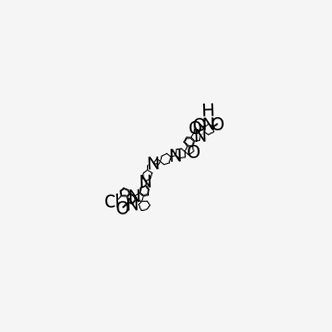 O=C1CC[C@H](N2Cc3c(ccc4c3OCC43CCN(C4CCC5(CC4)CN(CC4CCN(c6ccc7c(c6)-n6c(nc(=O)c8c(Cl)cccc86)C76CCCCC6)CC4)C5)CC3)C2=O)C(=O)N1